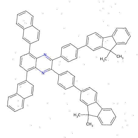 CC1(C)c2ccccc2-c2ccc(-c3ccc(-c4nc5c(-c6ccc7ccccc7c6)ccc(-c6ccc7ccccc7c6)c5nc4-c4ccc(-c5ccc6c(c5)C(C)(C)c5ccccc5-6)cc4)cc3)cc21